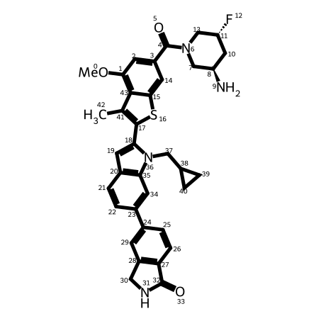 COc1cc(C(=O)N2C[C@H](N)C[C@@H](F)C2)cc2sc(-c3cc4ccc(-c5ccc6c(c5)CNC6=O)cc4n3CC3CC3)c(C)c12